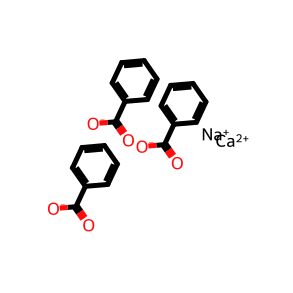 O=C([O-])c1ccccc1.O=C([O-])c1ccccc1.O=C([O-])c1ccccc1.[Ca+2].[Na+]